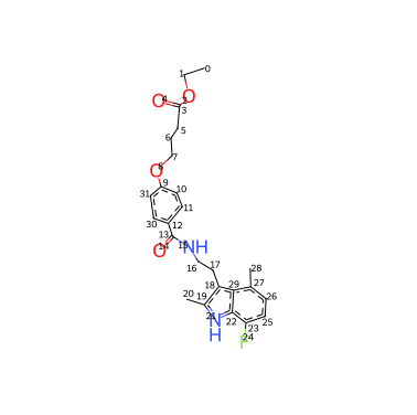 CCOC(=O)CCCOc1ccc(C(=O)NCCc2c(C)[nH]c3c(F)ccc(C)c23)cc1